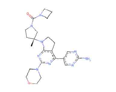 C[C@@]1(N2CCc3c(-c4cnc(N)nc4)nc(N4CCOCC4)nc32)CCN(C(=O)N2CCC2)C1